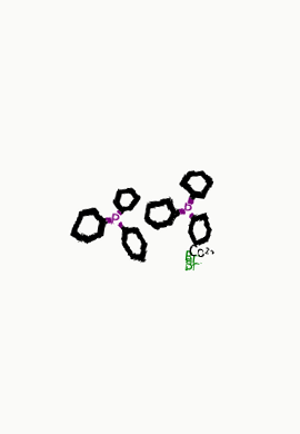 C1CCC(P(C2CCCCC2)C2CCCCC2)CC1.C1CCC(P(C2CCCCC2)C2CCCCC2)CC1.[Br-].[Br-].[Co+2]